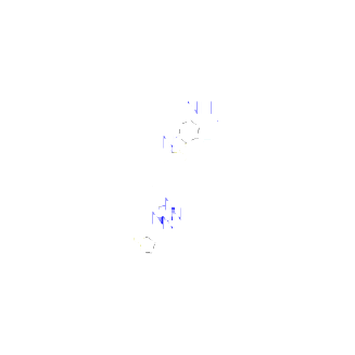 CCC(c1nnnn1Cc1cccs1)C1CCCC(c2nc3cc(N)cc(F)c3s2)CC1